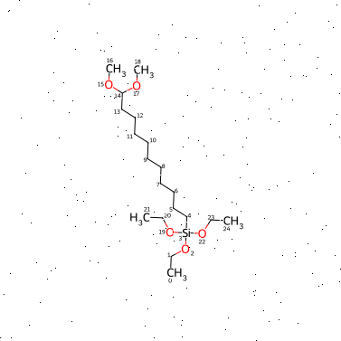 CCO[Si](CCCCCCCCCCC(OC)OC)(OCC)OCC